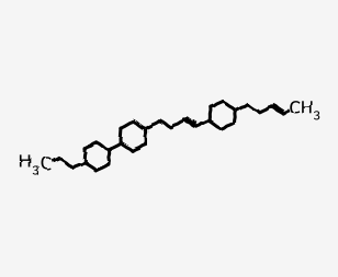 CC=CCCC1CCC(C=CCCC2CCC(C3CCC(CCC)CC3)CC2)CC1